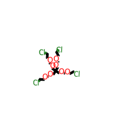 ClCCOCOCC(COCOCCCl)(COCOCCCl)COCOCCCl